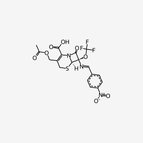 CC(=O)OCC1=C(C(=O)O)N2C(=O)[C@@](N=Cc3ccc([N+](=O)[O-])cc3)(OC(F)(F)F)[C@H]2SC1